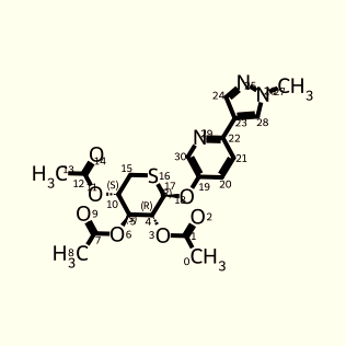 CC(=O)O[C@@H]1[C@@H](OC(C)=O)[C@H](OC(C)=O)CS[C@H]1Oc1ccc(-c2cnn(C)c2)nc1